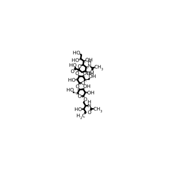 C=CC(O)C(CO[C@@H]1O[C@H](CO)[C@@H](O[C@@H]2O[C@H](CO)[C@H](O)[C@H](O[C@]3(C(=O)O)C[C@H](O)[C@@H](NC(C)=O)C([C@H](O)[C@H](O)CO)O3)[C@H]2O)[C@H](O)[C@H]1O)NC(C)=O